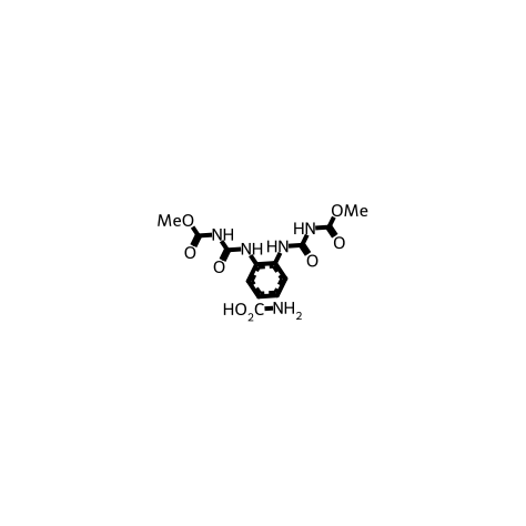 COC(=O)NC(=O)Nc1ccccc1NC(=O)NC(=O)OC.NC(=O)O